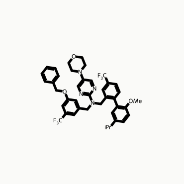 COc1ccc(C(C)C)cc1-c1ccc(C(F)(F)F)cc1CN(Cc1cc(OCc2ccccc2)cc(C(F)(F)F)c1)c1ncc(N2CCOCC2)cn1